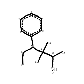 CCC(c1ccccc1)C(C)(C)C(C)S